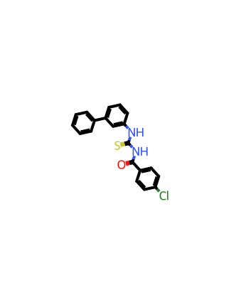 O=C(NC(=S)Nc1cccc(-c2ccccc2)c1)c1ccc(Cl)cc1